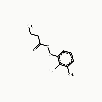 CCCC(=O)OOc1cccc(C)c1C